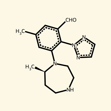 Cc1cc(C=O)c(-n2nccn2)c(N2CCNCC[C@H]2C)c1